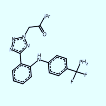 CC(C)C(=O)Cn1nnc(-c2ccccc2Nc2ccc(C(F)(F)P)cc2)n1